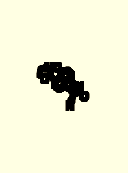 N#CC1=C2C(=NC1=O)c1ccc(O)c3c(C4CCCCO4)ccc2c13